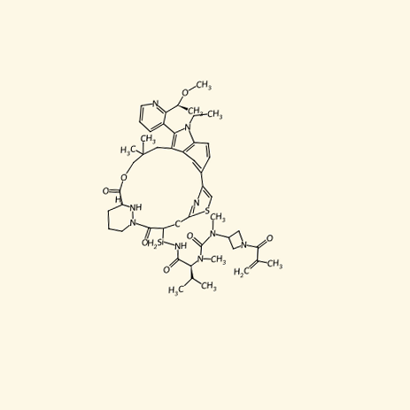 C=C(C)C(=O)N1CC(N(C)C(=O)N(C)[C@H](C(=O)N[SiH2]C2Cc3nc(cs3)-c3ccc4c(c3)c(c(-c3cccnc3[C@H](C)OC)n4CC)CC(C)(C)COC(=O)[C@@H]3CCCN(N3)C2=O)C(C)C)C1